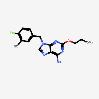 COCCOc1nc(N)c2ncn(Cc3ccc(F)c(C#N)c3)c2n1